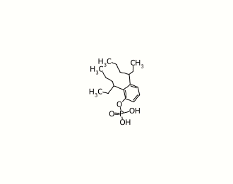 CCCC(CC)c1cccc(OP(=O)(O)O)c1C(CC)CCC